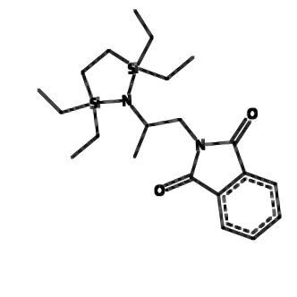 CC[Si]1(CC)CC[Si](CC)(CC)N1C(C)CN1C(=O)c2ccccc2C1=O